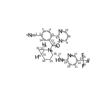 N#Cc1ccc(-c2ncccn2)c(C(=O)N2[C@H](CNc3ccc(C(F)(F)F)cn3)CC[C@H]3C[C@H]32)c1